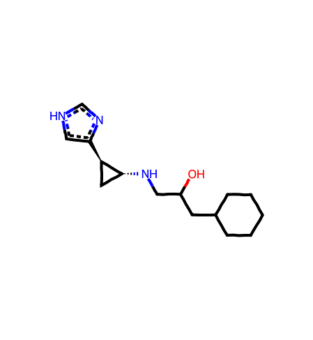 OC(CN[C@@H]1C[C@H]1c1c[nH]cn1)CC1CCCCC1